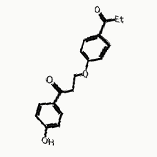 CCC(=O)c1ccc(OCCC(=O)c2ccc(O)cc2)cc1